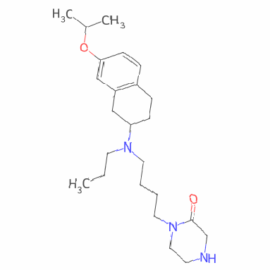 CCCN(CCCCN1CCNCC1=O)C1CCc2ccc(OC(C)C)cc2C1